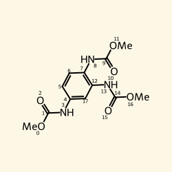 COC(=O)Nc1ccc(NC(=O)OC)c(NC(=O)OC)c1